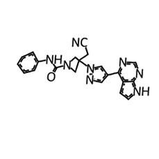 N#CCC1(n2cc(-c3ncnc4[nH]ccc34)cn2)CN(C(=O)Nc2ccccc2)C1